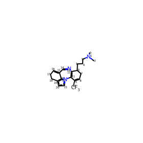 CN(C)CCCC1CC=C(C(F)(F)F)C2=C1N=CC1=CCCc3ccn2c31